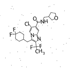 CC(F)(F)c1nc2cc(C(=O)NCC3CCOC3)c(Cl)cn2c1CC1CCC(F)(F)CC1